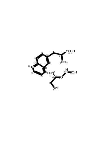 CC(C)C[C@H](N)OBO.NC(Cc1ccc2ncccc2c1)C(=O)O